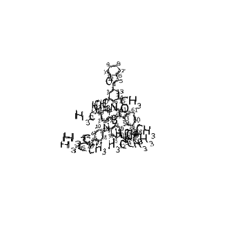 Cc1cc(-c2cc3ccccc3o2)cc(C)c1N1c2cc(C(C)C)cc3c2B(c2cc(C(C)(C)C)ccc2N3c2ccc(C(C)(C)C)cc2)c2c1oc1c2CC(C(C)(C)C)C=C1